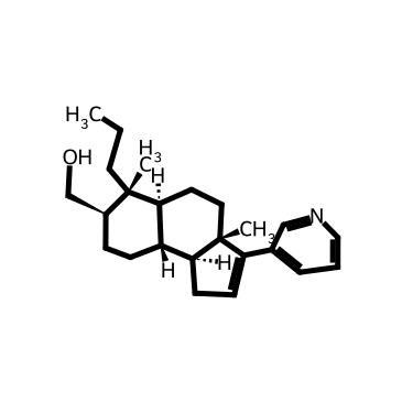 CCC[C@@]1(C)[C@H](CO)CC[C@@H]2[C@@H]1CC[C@]1(C)C(c3cccnc3)=CC[C@@H]21